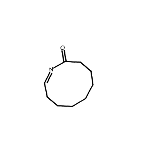 O=C1CCCCCCC/C=N\1